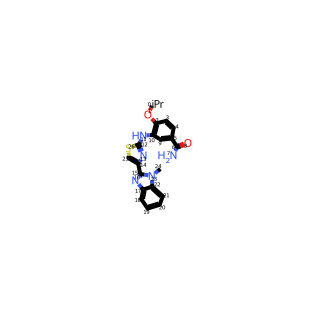 CC(C)Oc1ccc(C(N)=O)cc1Nc1nc(-c2nc3ccccc3n2C)cs1